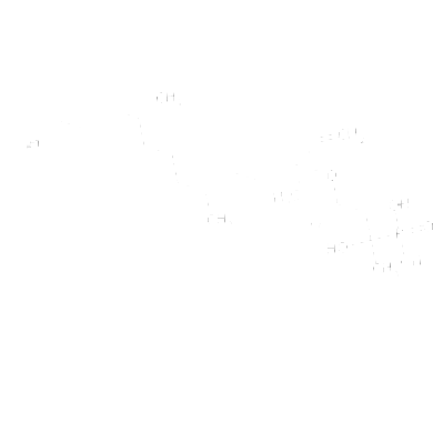 C=CC(C)(CCCC(C)CCCC(C)CCCC(C)C)OC(=O)CC(C)(O)P(=O)(O)O